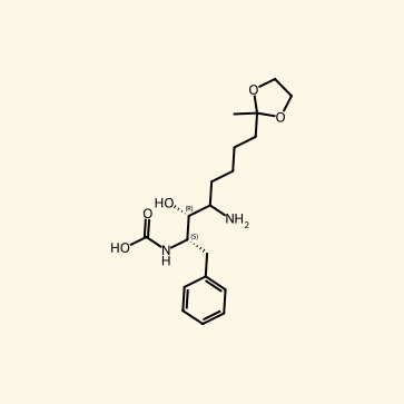 CC1(CCCCC(N)[C@@H](O)[C@H](Cc2ccccc2)NC(=O)O)OCCO1